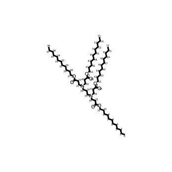 CCCCCCCCCCCCOC(=O)CCN(CCCN(CCC(=O)OCCCCCCCCCCCC)CCC(=O)OCCCCCCCCCCCC)CCC(=O)OCCCCCCCCCCCC